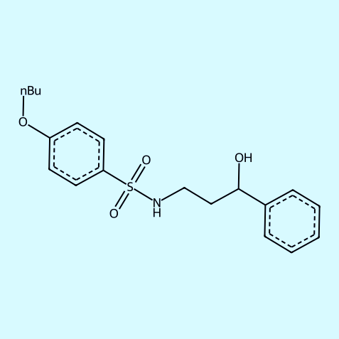 CCCCOc1ccc(S(=O)(=O)NCCC(O)c2ccccc2)cc1